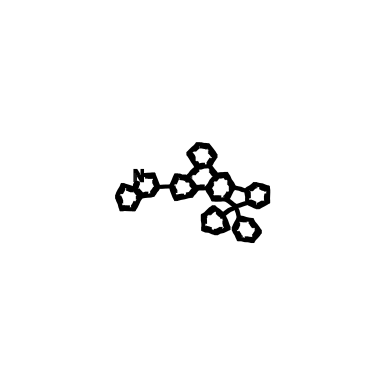 c1ccc(C2(c3ccccc3)c3ccccc3-c3cc4c5ccccc5c5cc(-c6cnc7ccccc7c6)ccc5c4cc32)cc1